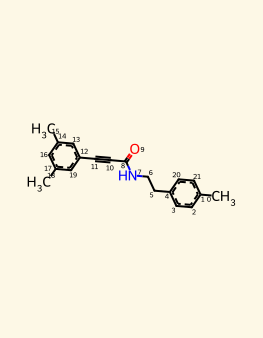 Cc1ccc(CCNC(=O)C#Cc2cc(C)cc(C)c2)cc1